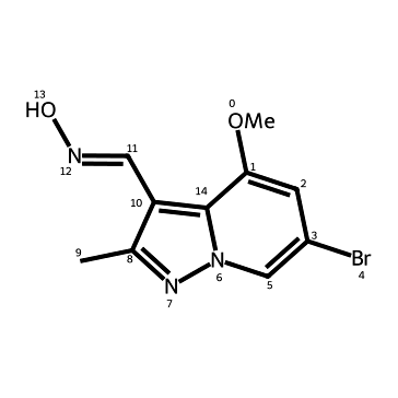 COc1cc(Br)cn2nc(C)c(/C=N/O)c12